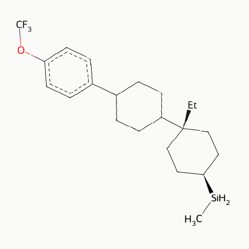 CC[C@]1(C2CCC(c3ccc(OC(F)(F)F)cc3)CC2)CC[C@H]([SiH2]C)CC1